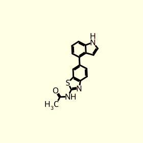 CC(=O)Nc1nc2ccc(-c3cccc4[nH]ccc34)cc2s1